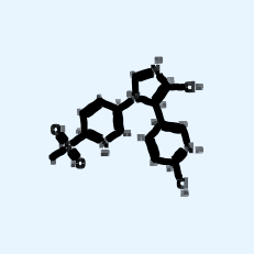 CS(=O)(=O)c1ccc(-n2cnc(Cl)c2-c2ccc(Cl)nc2)cn1